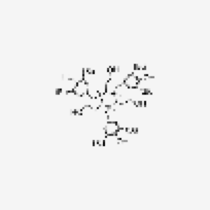 CC(C)(C)c1cc(CC2(C)C(CCO)C(C)(Cc3cc(C(C)(C)C)c(O)c(C(C)(C)C)c3)C(CCO)C(C)(Cc3cc(C(C)(C)C)c(O)c(C(C)(C)C)c3)C2CCO)cc(C(C)(C)C)c1O